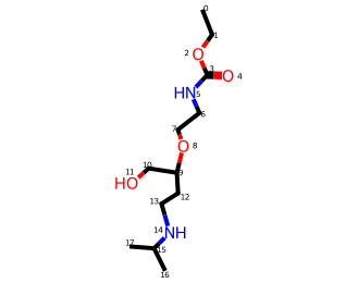 CCOC(=O)NCCOC(CO)CCNC(C)C